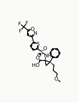 COCCC[C@@]1(c2ccccc2)C[C@]1(NS(=O)(=O)c1ccc(-c2cc(C(F)(F)F)on2)s1)C(=O)O